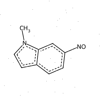 Cn1ccc2ccc(N=O)cc21